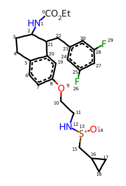 CCOC(=O)NC1CCc2ccc(OCCN[S+]([O-])CC3CC3)cc2C1Cc1cc(F)cc(F)c1